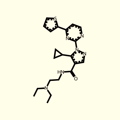 CCN(CC)CCNC(=O)c1cnn(-c2nccc(-c3cccs3)n2)c1C1CC1